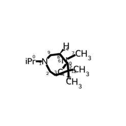 CC(C)N1CC2CCN(C)[C@H](C1)CC2(C)C